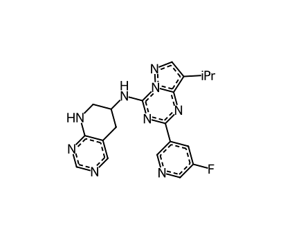 CC(C)c1cnn2c(NC3CNc4ncncc4C3)nc(-c3cncc(F)c3)nc12